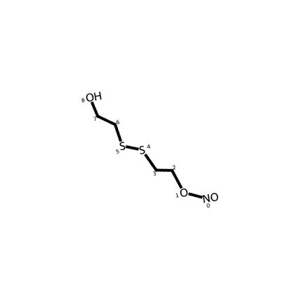 O=NOCCSSCCO